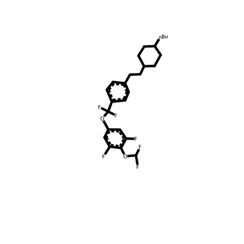 CCCCC1CCC(CCc2ccc(C(F)(F)Oc3cc(F)c(OC(F)F)c(F)c3)cc2)CC1